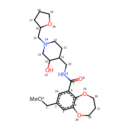 COCc1cc2c(c(C(=O)NCC3CCN(CC4CCCO4)CC3O)c1)OCCCO2